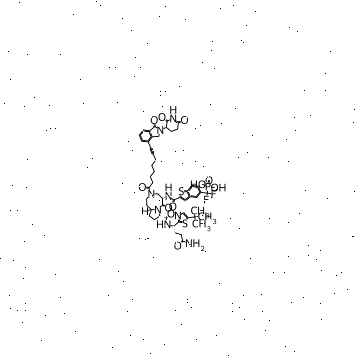 CC(C)(C)c1cnc([C@H](CCC(N)=O)NC(=O)[C@@H]2CC[C@@H]3CCN(C(=O)CCCCCC#Cc4cccc5c4CN(C4CCC(=O)NC4=O)C5=O)C[C@H](NC(=O)c4cc5cc(C(F)(F)P(=O)(O)O)ccc5s4)C(=O)N32)s1